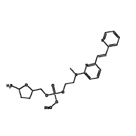 BC1CCC(COP(=O)(OCCN(C)c2cccc(/C=C/c3ccccn3)n2)OOC)O1